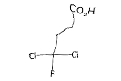 O=C(O)CCC(F)(Cl)Cl